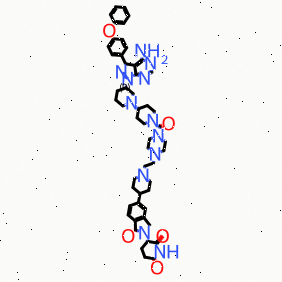 Nc1ncnc2c1c(-c1ccc(Oc3ccccc3)cc1)nn2[C@@H]1CCCN(C2CCN(C(=O)N3CCN(CCN4CCC(c5ccc6c(c5)CN(C5CCC(=O)NC5=O)C6=O)CC4)CC3)CC2)C1